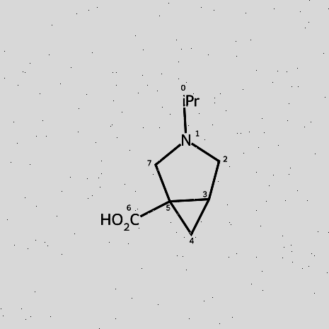 CC(C)N1CC2CC2(C(=O)O)C1